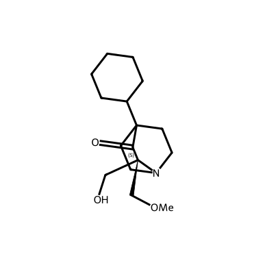 COC[C@@]1(CO)C(=O)C2(C3CCCCC3)CCN1CC2